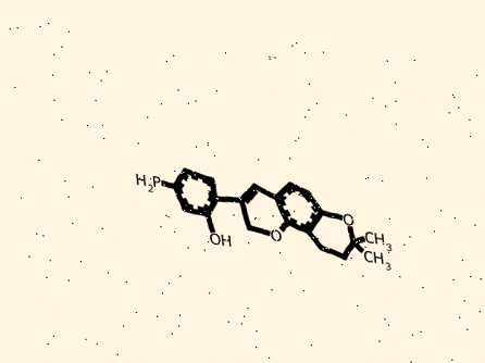 CC1(C)CCc2c(ccc3c2OCC(c2ccc(P)cc2O)=C3)O1